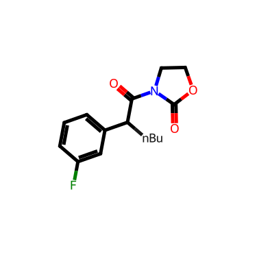 CCCCC(C(=O)N1CCOC1=O)c1cccc(F)c1